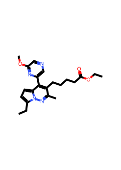 CCOC(=O)CCCCc1c(C)nn2c(CC)ccc2c1-c1cncc(OC)n1